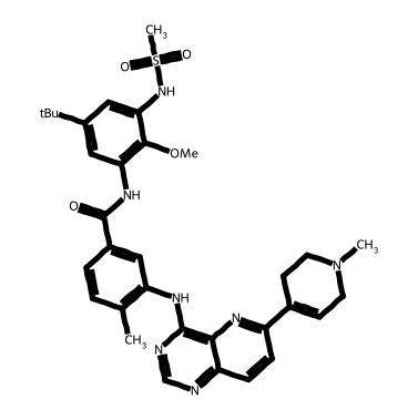 COc1c(NC(=O)c2ccc(C)c(Nc3ncnc4ccc(C5=CCN(C)CC5)nc34)c2)cc(C(C)(C)C)cc1NS(C)(=O)=O